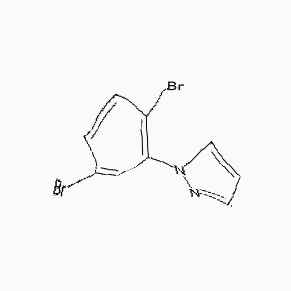 Brc1ccc(Br)c(-n2cc[c]n2)c1